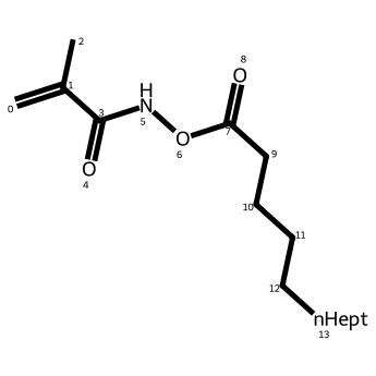 C=C(C)C(=O)NOC(=O)CCCCCCCCCCC